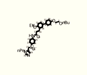 CCCCOCCOc1ccc(-c2ccc(OCC)c(/C=C/C(=O)Nc3ccc([S@+]([O-])Cc4cncn4CCC)cc3)c2)cc1